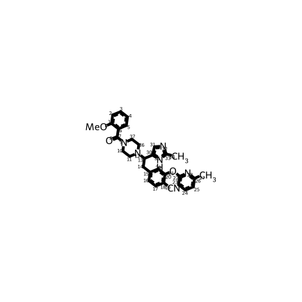 COc1ccccc1C(=O)N1CCN(C(Cc2ccc(C#N)c(Oc3cccc(C)n3)c2)c2cnc(C)[nH]2)CC1